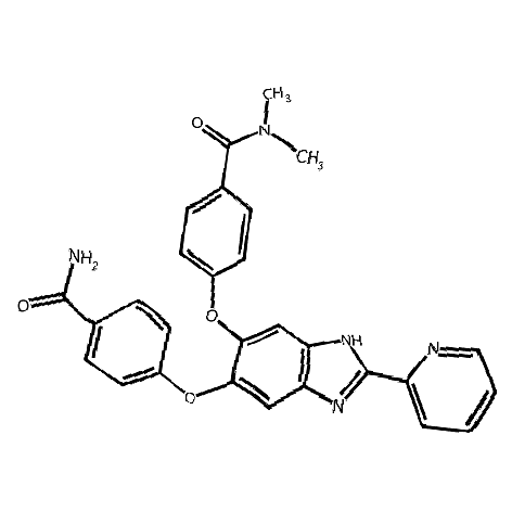 CN(C)C(=O)c1ccc(Oc2cc3[nH]c(-c4ccccn4)nc3cc2Oc2ccc(C(N)=O)cc2)cc1